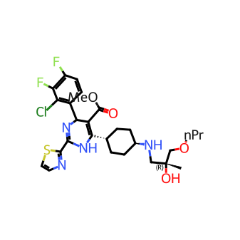 CCCOC[C@](C)(O)CN[C@H]1CC[C@H](C2=C(C(=O)OC)C(c3ccc(F)c(F)c3Cl)N=C(c3nccs3)N2)CC1